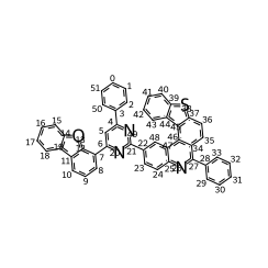 c1ccc(-c2cc(-c3cccc4c3oc3ccccc34)nc(-c3ccc4nc(-c5ccccc5)c5ccc6sc7ccccc7c6c5c4c3)n2)cc1